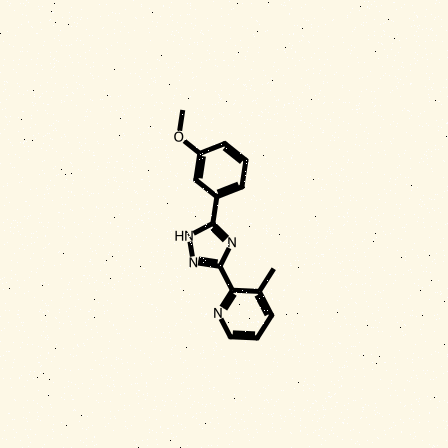 COc1cccc(-c2nc(-c3ncccc3C)n[nH]2)c1